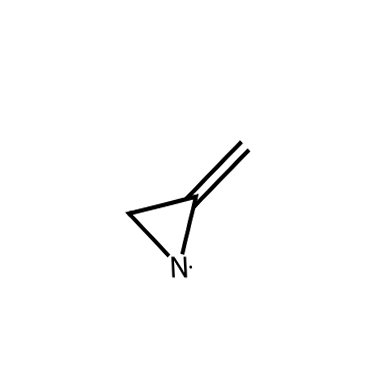 C=C1C[N]1